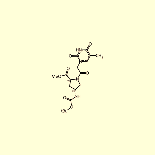 COC(=O)[C@@H]1C[C@@H](NC(=O)OC(C)(C)C)CN1C(=O)Cn1cc(C)c(=O)[nH]c1=O